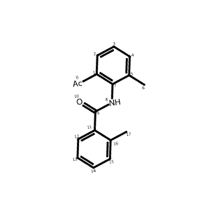 [CH2]C(=O)c1cccc(C)c1NC(=O)c1ccccc1C